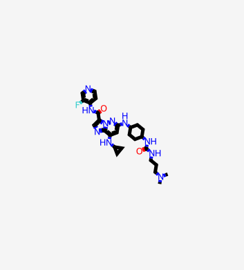 CN(C)CCCNC(=O)NC1CCC(Nc2cc(NC3CC3)c3ncc(C(=O)Nc4ccncc4F)n3n2)CC1